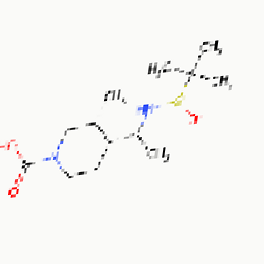 CC(N[S@@+]([O-])C(C)(C)C)[C@@H]1CCN(C(=O)O)C[C@@H]1C